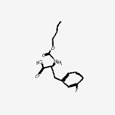 CCCCOC(=O)NC(Cc1cccc(F)c1)C(=O)O